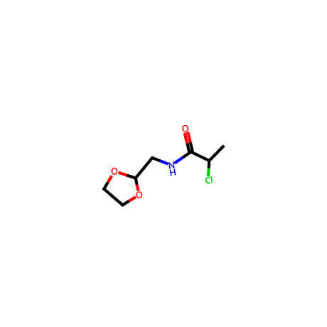 CC(Cl)C(=O)NCC1OCCO1